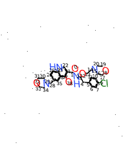 O=C(NC(Cc1ccc(Cl)cc1)OCCN1CCOCC1)c1c[nH]c2ccc(CN3CCOCC3)cc2c1=O